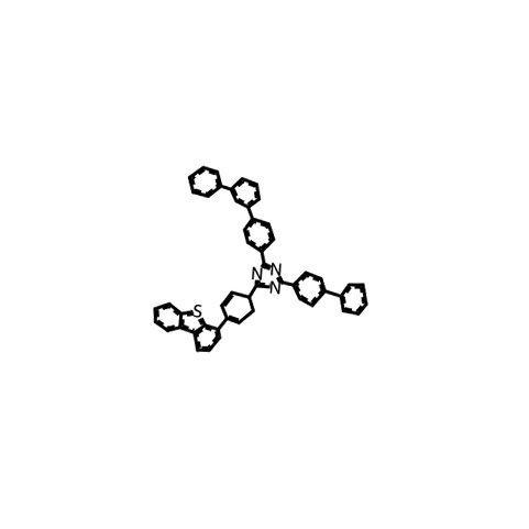 C1=CC(c2nc(-c3ccc(-c4ccccc4)cc3)nc(-c3ccc(-c4cccc(-c5ccccc5)c4)cc3)n2)CC=C1c1cccc2c1sc1ccccc12